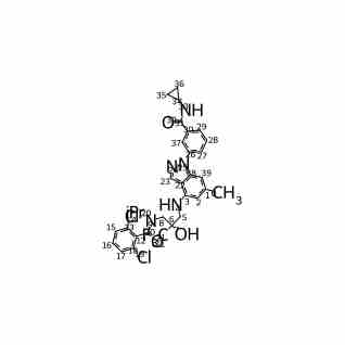 Cc1cc(NCC(O)(CN(C(=O)c2c(Cl)cccc2Cl)C(C)C)C(F)(F)F)c2cnn(-c3cccc(C(=O)NC4CC4)c3)c2c1